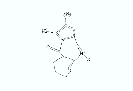 Cc1cc2n(c1O)C(=O)C1CCCC=C1[N+]([O-])=C2